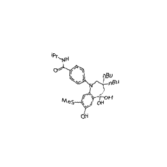 CCCCC1(CCCC)CN(c2ccc(C(=O)NC(C)C)cc2)c2cc(SC)c(O)cc2S(O)(O)C1